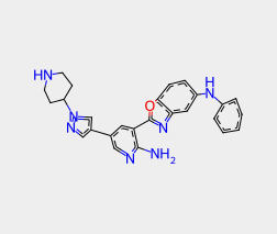 Nc1ncc(-c2cnn(C3CCNCC3)c2)cc1-c1nc2cc(Nc3ccccc3)ccc2o1